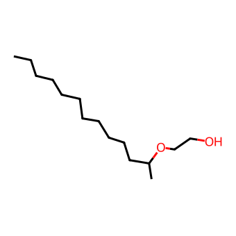 CCCCCCCCCCCC(C)OCCO